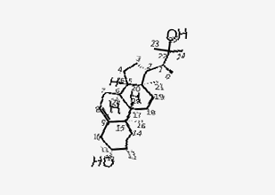 C[C@@H]([C@H]1CC[C@H]2[C@@H]3CC=C4C[C@@H](O)CC[C@]4(C)[C@H]3CC[C@]12C)C(C)(C)O